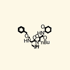 CCCC[C@H](NC(=O)[C@H](CC(C)C)NCOCc1ccccc1)C(=O)C(=O)N[C@H]1CCCCC1=O